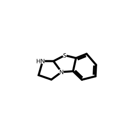 c1ccc2c(c1)SC1NCCN21